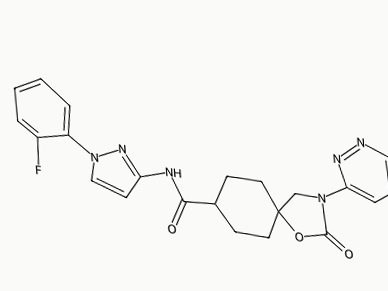 O=C(Nc1ccn(-c2ccccc2F)n1)C1CCC2(CC1)CN(c1cccnn1)C(=O)O2